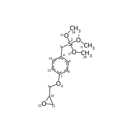 CO[Si](Cc1ccc(OCC2CO2)cc1)(OC)OC